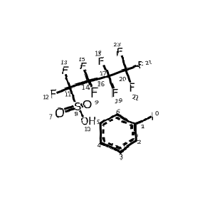 Ic1ccccc1.O=S(=O)(O)C(F)(F)C(F)(F)C(F)(F)C(F)(F)F